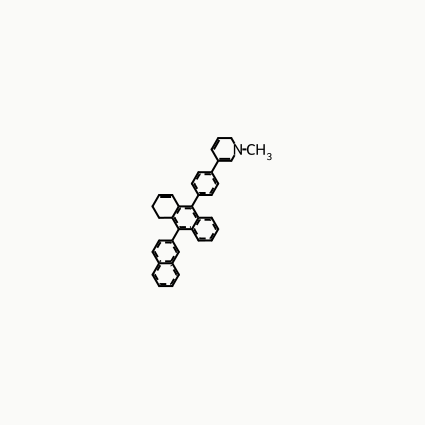 CN1C=C(c2ccc(-c3c4c(c(-c5ccc6ccccc6c5)c5ccccc35)CCC=C4)cc2)C=CC1